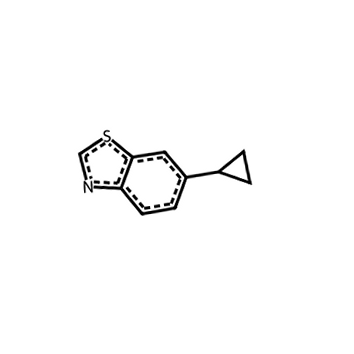 c1nc2ccc(C3CC3)cc2s1